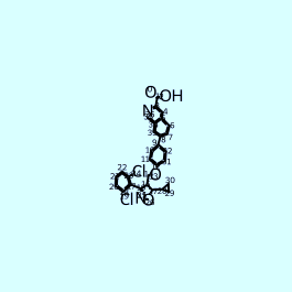 O=C(O)c1cc2ccc(-c3ccc(OCC4C(c5c(Cl)cccc5Cl)=NOC4C4CC4)cc3)cc2cn1